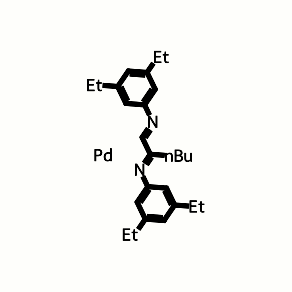 CCCCC(/C=N/c1cc(CC)cc(CC)c1)=N\c1cc(CC)cc(CC)c1.[Pd]